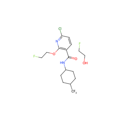 O=C(NC1CCC(C(F)(F)F)CC1)c1ccc(Cl)nc1OCCF.OCCF